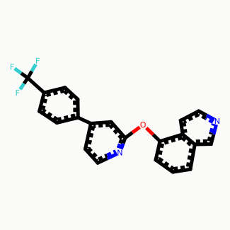 FC(F)(F)c1ccc(-c2ccnc(Oc3cccc4cnccc34)c2)cc1